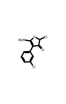 CCC1OC(NC)=C(c2cccc(Cl)c2)C1=O